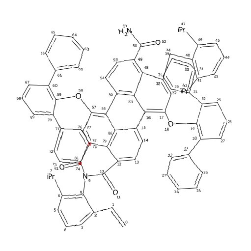 C=Cc1cccc(C(C)C)c1N1C(=O)c2ccc3c4c(Oc5c(-c6ccccc6)cccc5-c5ccccc5)cc(Cc5c(C(C)C)cccc5C(C)C)c5c(C(N)=O)ccc(c6c(Oc7c(-c8ccccc8)cccc7-c7ccccc7)cc(c2c36)C1=O)c54